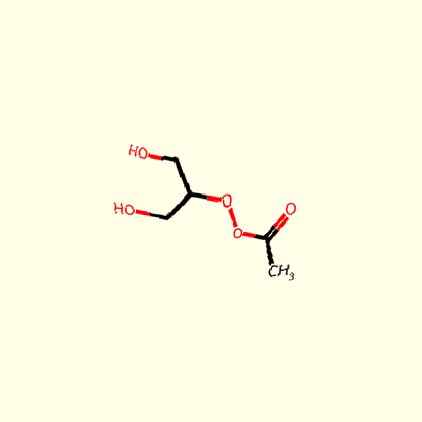 CC(=O)OOC(CO)CO